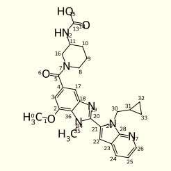 COc1cc(C(=O)N2CCCC(NC(=O)O)C2)cc2nc(-c3cc4cccnc4n3CC3CC3)n(C)c12